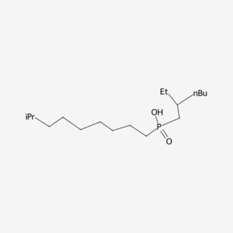 CCCCC(CC)CP(=O)(O)CCCCCCCC(C)C